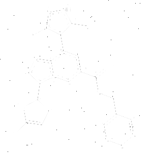 CC1=CCC(c2cnc3c(-c4c(C)n[nH]c4C)cc(C(=O)NCC4=CNCN=C4)cn23)S1